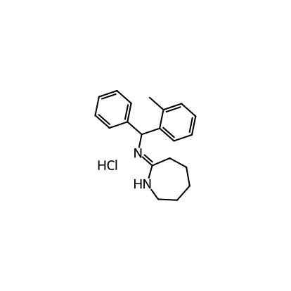 Cc1ccccc1C(N=C1CCCCCN1)c1ccccc1.Cl